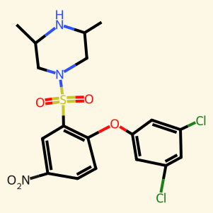 CC1CN(S(=O)(=O)c2cc([N+](=O)[O-])ccc2Oc2cc(Cl)cc(Cl)c2)CC(C)N1